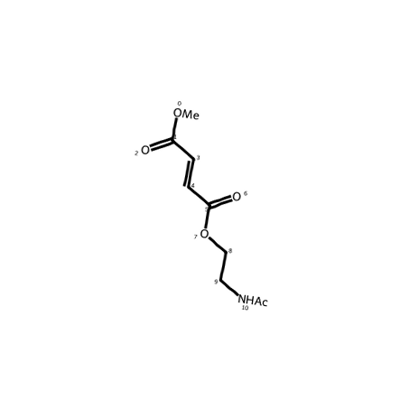 COC(=O)/C=C/C(=O)OCCNC(C)=O